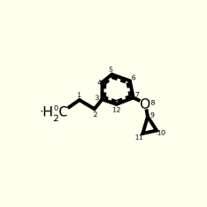 [CH2]CCc1cccc(OC2CC2)c1